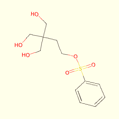 O=S(=O)(OCCC(CO)(CO)CO)c1ccccc1